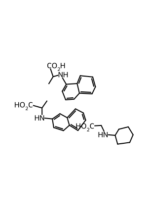 CC(Nc1ccc2ccccc2c1)C(=O)O.CC(Nc1cccc2ccccc12)C(=O)O.O=C(O)CNC1CCCCC1